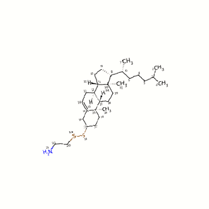 CC(C)CCC[C@@H](C)[C@H]1CC[C@H]2[C@@H]3CC=C4CC(SSCCN)CC[C@]4(C)[C@H]3CC[C@]12C